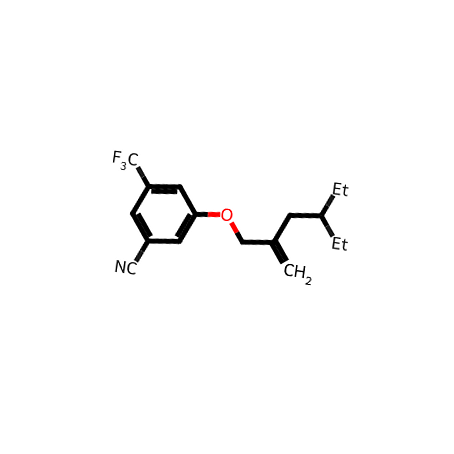 C=C(COc1cc(C#N)cc(C(F)(F)F)c1)CC(CC)CC